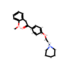 COc1ccccc1CC(=O)c1ccc(OCCN2CCCCC2)cc1